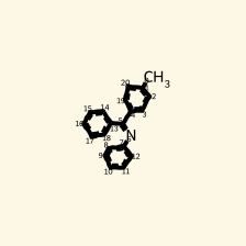 Cc1ccc(C(=Nc2ccccc2)c2ccccc2)cc1